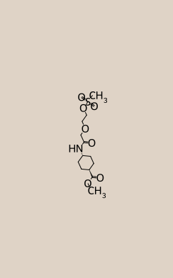 COC(=O)[C@H]1CC[C@H](NC(=O)COCCOS(C)(=O)=O)CC1